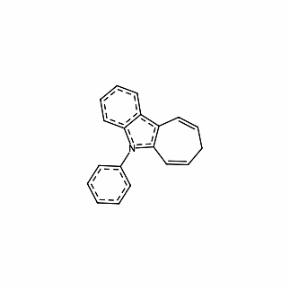 C1=Cc2c(n(-c3ccccc3)c3ccccc23)C=CC1